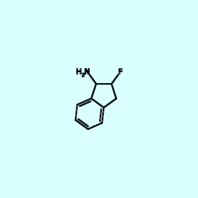 NC1c2ccccc2CC1F